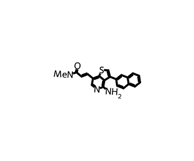 CNC(=O)/C=C/c1cnc(N)c2c(-c3ccc4ccccc4c3)csc12